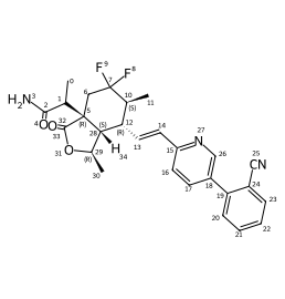 CC(C(N)=O)[C@@]12CC(F)(F)[C@@H](C)[C@H](C=Cc3ccc(-c4ccccc4C#N)cn3)[C@@H]1[C@@H](C)OC2=O